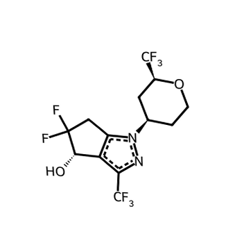 O[C@H]1c2c(C(F)(F)F)nn([C@@H]3CCO[C@H](C(F)(F)F)C3)c2CC1(F)F